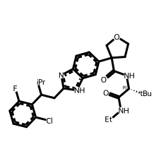 CCNC(=O)[C@H](NC(=O)C1(c2ccc3nc(CC(c4c(F)cccc4Cl)C(C)C)[nH]c3c2)CCOC1)C(C)(C)C